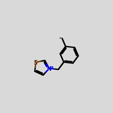 [CH2]c1cccc(C[n+]2ccsc2)c1